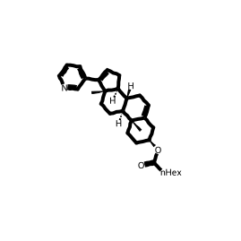 CCCCCCC(=O)O[C@H]1CC[C@@]2(C)C(=CC[C@@H]3[C@@H]2CC[C@]2(C)C(c4cccnc4)=CC[C@@H]32)C1